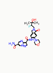 CC(C)(O)C(F)CN1Cc2cc(NC(=O)c3cnn4cc(C(N)=O)cnc34)c(N3CCOCC3)cc2C1=O